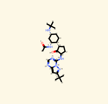 CC(=O)N[C@@H]1C[C@H](NC(C)(C)C)CC[C@@H]1C1CCC(Nc2ncnc3cc(C(C)(C)C)nn23)C1=O